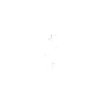 C[PH](=O)OCC(Cl)CCC(Cl)CO[PH](C)=O